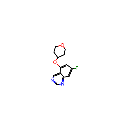 Fc1cc(OC2CCOCC2)c2cncnc2c1